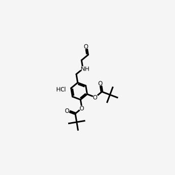 CC(C)(C)C(=O)Oc1ccc(CNCC=O)cc1OC(=O)C(C)(C)C.Cl